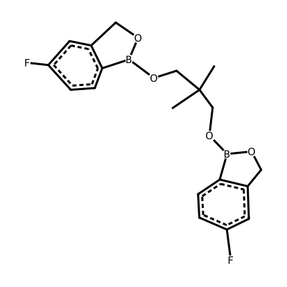 CC(C)(COB1OCc2cc(F)ccc21)COB1OCc2cc(F)ccc21